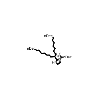 CCCCCCCCCCCCCCCCCC(CCCCCCCCCCCCCCCCC)c1[nH]cc[n+]1C(C)CCCCCCCCCC